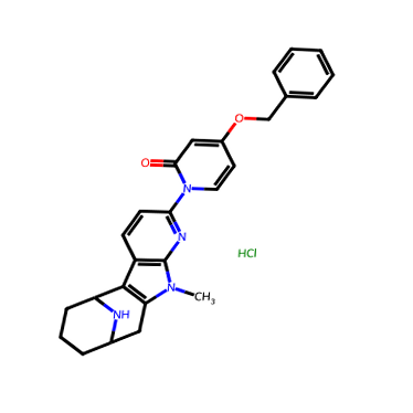 Cl.Cn1c2c(c3ccc(-n4ccc(OCc5ccccc5)cc4=O)nc31)C1CCCC(C2)N1